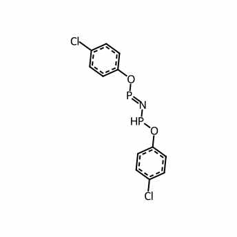 Clc1ccc(OP=NPOc2ccc(Cl)cc2)cc1